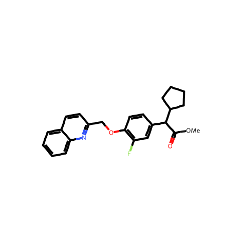 COC(=O)C(c1ccc(OCc2ccc3ccccc3n2)c(F)c1)C1CCCC1